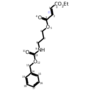 CCOC(=O)/C=C/C(=O)OCCCNC(=O)OCc1ccccc1